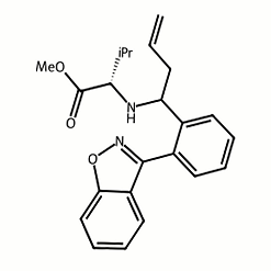 C=CCC(N[C@H](C(=O)OC)C(C)C)c1ccccc1-c1noc2ccccc12